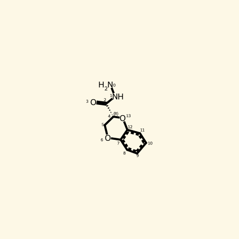 NNC(=O)[C@H]1COc2ccccc2O1